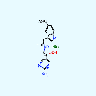 COc1ccc2[nH]cc(C[C@@H](C)NC[C@H](O)c3cnc(N)nc3)c2c1.Cl.Cl